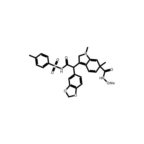 CONC(=O)C1(C)C=CC2=C(C(C(=O)NS(=O)(=O)c3ccc(C)cc3)c3ccc4c(c3)OCO4)CN(C)C2=C1